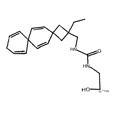 CCC1(CNC(=O)NC[C@H](C)O)CC2(C=CC3(C=CCC=C3)C=C2)C1